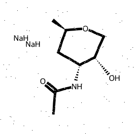 CC(=O)N[C@@H]1C[C@@H](C)O[CH][C@@H]1O.[NaH].[NaH]